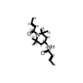 CC=CC(=O)NC1CC(C)(C)N(C(=O)C=CC)C(C)(C)C1